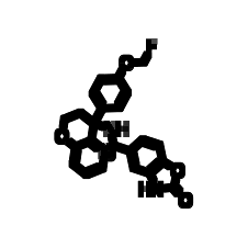 O=C(NC1(c2ccc(OCF)cc2)CCOc2cccnc21)c1ccc2oc(=O)[nH]c2c1